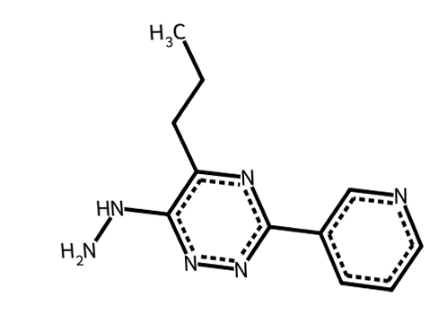 CCCc1nc(-c2cccnc2)nnc1NN